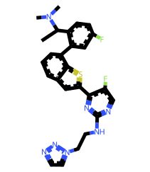 CC(c1ccc(F)cc1-c1cccc2cc(-c3nc(NCCn4ccnn4)ncc3F)sc12)N(C)C